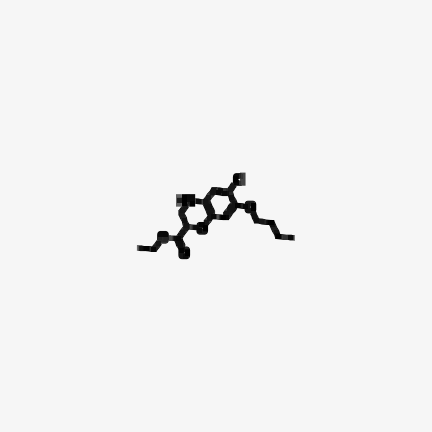 CCCCOc1cc2c(cc1Cl)NCC(C(=O)OCC)O2